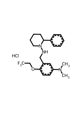 CN(C)c1ccc(OCC(F)(F)F)c(CNN2CCCCC2c2ccccc2)c1.Cl